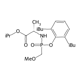 CCC(C)c1cccc(C(C)CC)c1OP(=O)(COC)N[C@@H](C)C(=O)OC(C)C